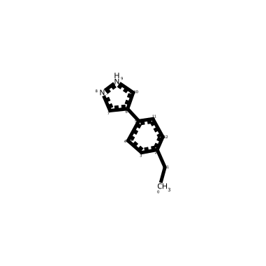 CCc1ccc(-c2cn[nH]c2)cc1